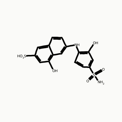 NS(=O)(=O)c1ccc(Nc2ccc3cc(S(=O)(=O)O)cc(O)c3c2)c(O)c1